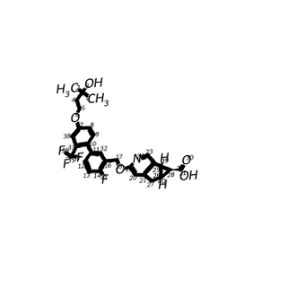 CC(C)(O)CCOc1ccc(-c2ccc(F)c(COc3cc4c(cn3)[C@H]3[C@@H](C4)[C@@H]3C(=O)O)c2)c(C(F)(F)F)c1